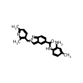 Cc1ccc(NC(=O)c2ccc3nn(Cc4ccc(C)nc4C)cc3c2)c(N)c1